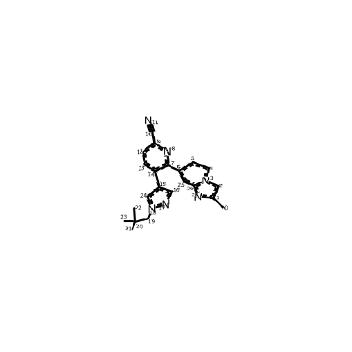 Cc1cn2ccc(-c3nc(C#N)ccc3-c3cnn(CC(C)(C)C)c3)cc2n1